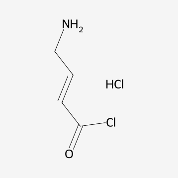 Cl.NCC=CC(=O)Cl